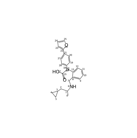 CC(CC1CC1)NCc1ccccc1N(C(=O)O)c1ccc(-c2ccco2)cc1